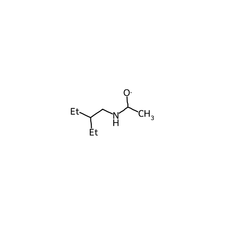 CCC(CC)CNC(C)[O]